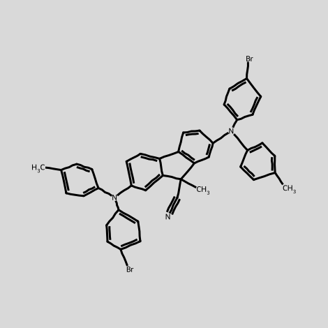 Cc1ccc(N(c2ccc(Br)cc2)c2ccc3c(c2)C(C)(C#N)c2cc(N(c4ccc(C)cc4)c4ccc(Br)cc4)ccc2-3)cc1